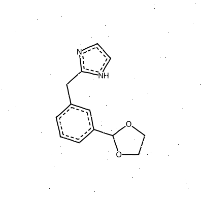 c1cc(Cc2ncc[nH]2)cc(C2OCCO2)c1